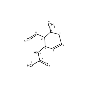 CC1CC=CC(NC(=O)O)C1C=O